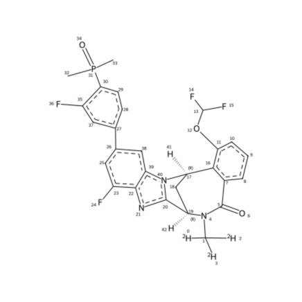 [2H]C([2H])([2H])N1C(=O)c2cccc(OC(F)F)c2[C@H]2C[C@@H]1c1nc3c(F)cc(-c4ccc(P(C)(C)=O)c(F)c4)cc3n12